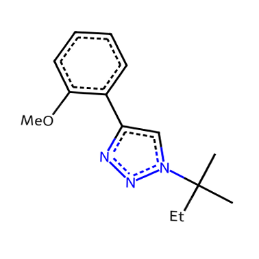 CCC(C)(C)n1cc(-c2ccccc2OC)nn1